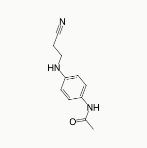 CC(=O)Nc1ccc(NCCC#N)cc1